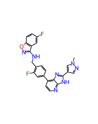 Cn1cc(-c2nc3c(-c4ccc(CNc5noc6ccc(F)cc56)c(F)c4)ccnc3[nH]2)cn1